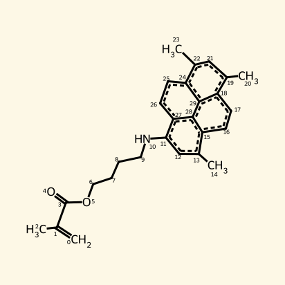 C=C(C)C(=O)OCCCCNc1cc(C)c2ccc3c(C)cc(C)c4ccc1c2c34